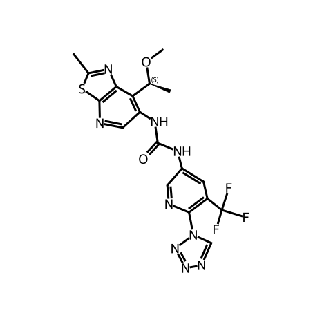 CO[C@@H](C)c1c(NC(=O)Nc2cnc(-n3cnnn3)c(C(F)(F)F)c2)cnc2sc(C)nc12